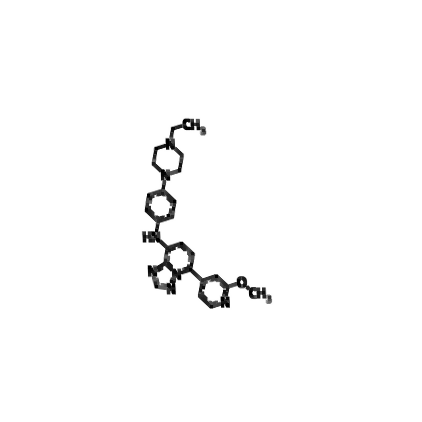 CCN1CCN(c2ccc(Nc3ccc(-c4ccnc(OC)c4)n4ncnc34)cc2)CC1